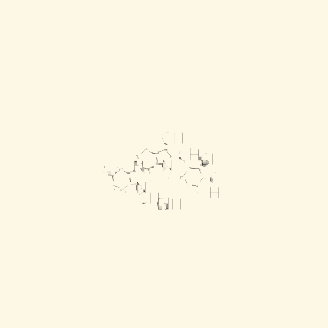 Cc1ccc(Cn2c(C)c(C)c3ccnc(CN(C)c4ccc(F)cc4)c32)cc1C.Cl